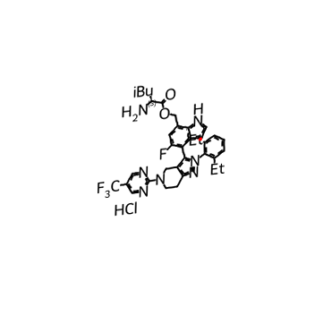 CCc1cccc(CC)c1-n1nc2c(c1-c1c(F)cc(COC(=O)[C@@H](N)C(C)CC)c3[nH]ccc13)CN(c1ncc(C(F)(F)F)cn1)CC2.Cl